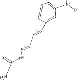 NC(=S)N/N=C/C=C/c1cccc([N+](=O)[O-])c1